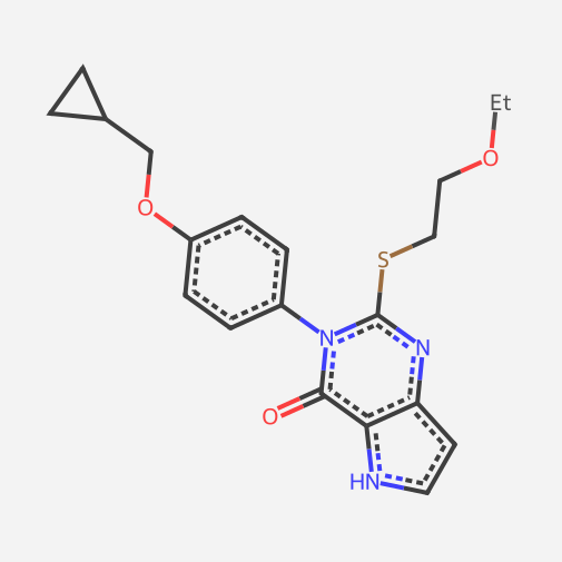 CCOCCSc1nc2cc[nH]c2c(=O)n1-c1ccc(OCC2CC2)cc1